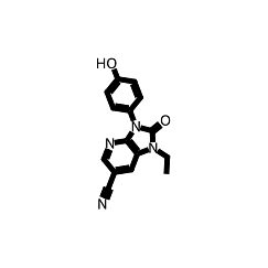 CCn1c(=O)n(-c2ccc(O)cc2)c2ncc(C#N)cc21